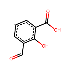 O=Cc1c[c]cc(C(=O)O)c1O